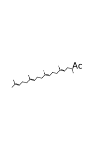 CC(=O)C(C)C/C=C(\C)CC/C=C(\C)CC/C=C(\C)CCC=C(C)C